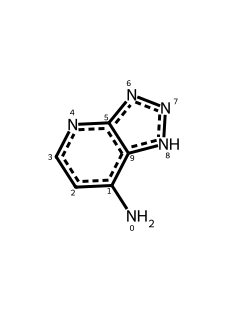 Nc1ccnc2nn[nH]c12